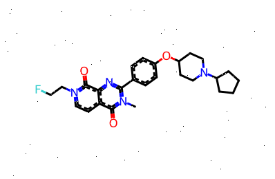 Cn1c(-c2ccc(OC3CCN(C4CCCC4)CC3)cc2)nc2c(=O)n(CCF)ccc2c1=O